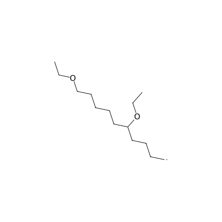 [CH2]CCCC(CCCCCOCC)OCC